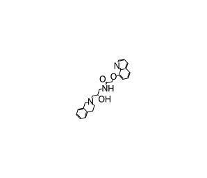 O=C(COc1cccc2cccnc12)NCC(O)CN1CCc2ccccc2C1